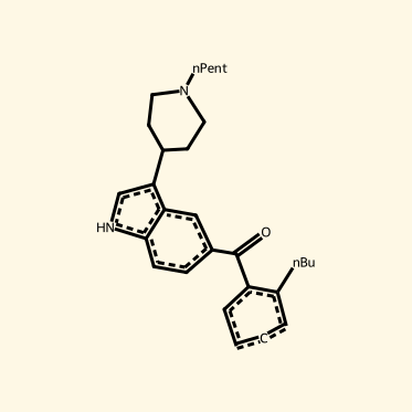 CCCCCN1CCC(c2c[nH]c3ccc(C(=O)c4ccccc4CCCC)cc23)CC1